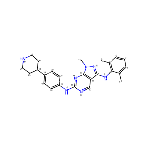 Cc1cccc(C)c1Nc1nn(C)c2nc(Nc3ccc(C4CCNCC4)cc3)ncc12